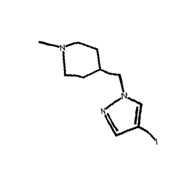 CN1CCC(Cn2cc(I)cn2)CC1